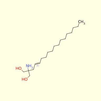 CCCCCCCCCCCCC/C=C/CC(N)(CO)CO